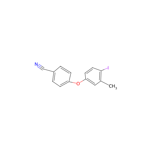 Cc1cc(Oc2ccc(C#N)cc2)ccc1I